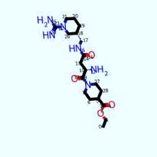 CCOC(=O)C1CCN(C(=O)[C@@H](N)CC(=O)NC[C@H]2CCCN(C(=N)N)C2)CC1